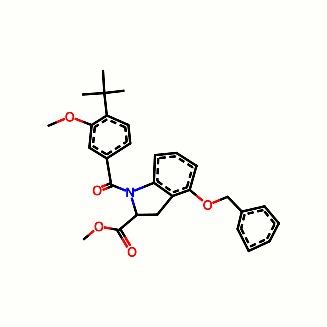 COC(=O)C1Cc2c(OCc3ccccc3)cccc2N1C(=O)c1ccc(C(C)(C)C)c(OC)c1